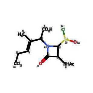 CC(=O)NC1C(=O)N(C(C(=O)O)C(C)=CCC(Cl)(Cl)Cl)C1[S+]([O-])Cl